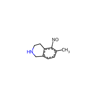 Cc1ccc2c(c1N=O)CCNC2